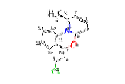 Cc1cccc(O[C@H](CCCl)c2ccccc2)n1